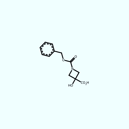 O=C(OCc1ccccc1)N1CC(O)(C(=O)O)C1